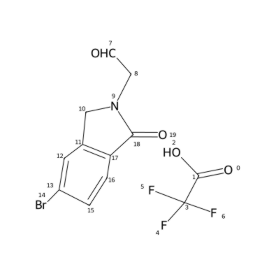 O=C(O)C(F)(F)F.O=CCN1Cc2cc(Br)ccc2C1=O